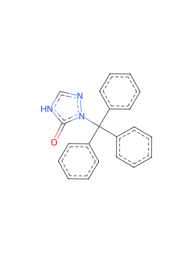 O=c1[nH]cnn1C(c1ccccc1)(c1ccccc1)c1ccccc1